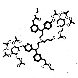 CCOC(=O)Cc1cccc(C(CCS(=CCC=S)CCC(c2ccc(O[C@H]3O[C@H](COC(C)=O)[C@@H](OC(C)=O)[C@H](OC(C)=O)[C@@H]3OC(C)=O)cc2)c2cccc(CC(=O)OCC)c2)c2ccc(O[C@H]3O[C@H](COC(C)=O)[C@@H](OC(C)=O)[C@H](OC(C)=O)[C@@H]3OC(C)=O)cc2)c1